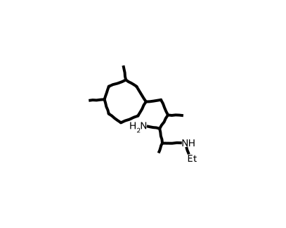 CCNC(C)C(N)C(C)CC1CCCC(C)CC(C)C1